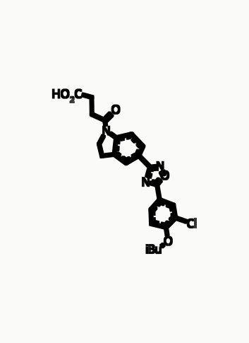 CCC(C)Oc1ccc(-c2nc(-c3ccc4c(c3)CCN4C(=O)CCC(=O)O)no2)cc1Cl